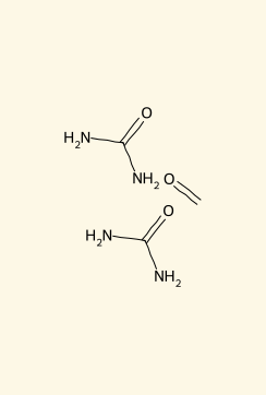 C=O.NC(N)=O.NC(N)=O